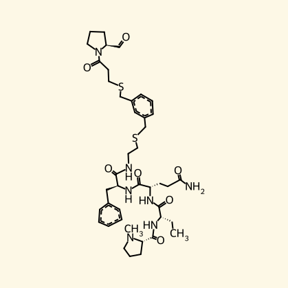 CC[C@H](NC(=O)[C@@H]1CCCN1C)C(=O)N[C@@H](CCC(N)=O)C(=O)N[C@@H](Cc1ccccc1)C(=O)NCCSCc1cccc(CSCCC(=O)N2CCC[C@H]2C=O)c1